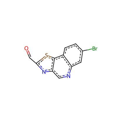 O=Cc1nc2cnc3cc(Br)ccc3c2s1